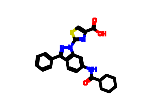 O=C(O)c1csc(-n2nc(-c3ccccc3)c3ccc(NC(=O)C4CCCCC4)cc32)n1